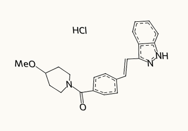 COC1CCN(C(=O)c2ccc(/C=C/c3n[nH]c4ccccc34)cc2)CC1.Cl